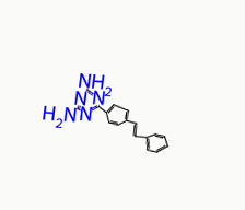 Nc1nc(N)nc(-c2ccc(C=Cc3ccccc3)cc2)n1